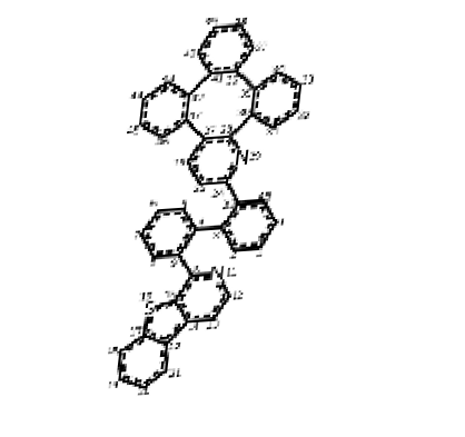 c1ccc(-c2ccccc2-c2nccc3c2sc2ccccc23)c(-c2ccc3c(n2)-c2ccccc2-c2ccccc2-c2ccccc2-3)c1